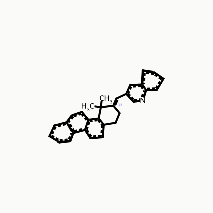 CC1(C)/C(=C/c2cnc3ccccc3c2)CCc2ccc3c(ccc4ccccc43)c21